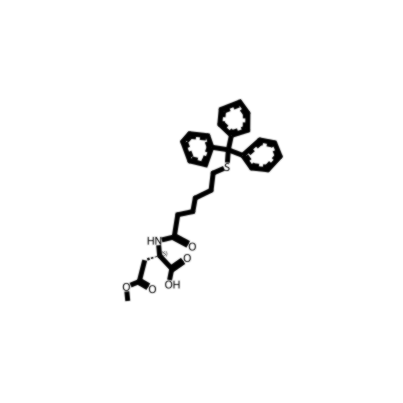 COC(=O)C[C@H](NC(=O)CCCCCSC(c1ccccc1)(c1ccccc1)c1ccccc1)C(=O)O